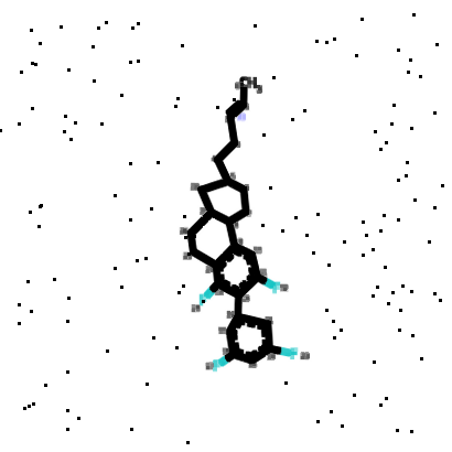 C/C=C/CCC1CCC2c3cc(F)c(-c4cc(F)cc(F)c4)c(F)c3CCC2C1